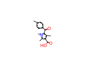 Cc1ccc(C(=O)c2c(C)c(C(=O)O)c(C)n2C)cc1